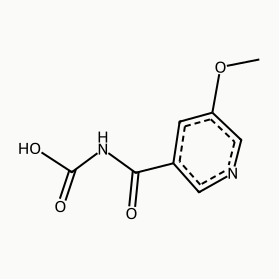 COc1cncc(C(=O)NC(=O)O)c1